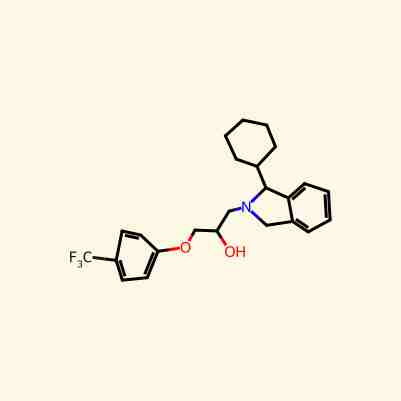 OC(COc1ccc(C(F)(F)F)cc1)CN1Cc2ccccc2C1C1CCCCC1